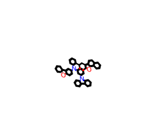 C1=CC(c2ccccc2N(c2cccc(-n3c4ccccc4c4ccccc43)c2)c2ccc3oc4ccccc4c3c2)Cc2c1oc1c2ccc2ccccc21